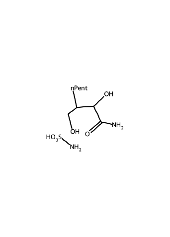 CCCCCC(CO)C(O)C(N)=O.NS(=O)(=O)O